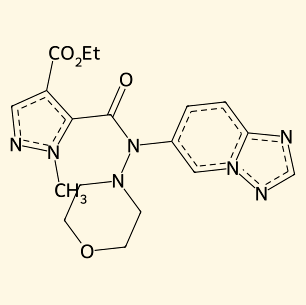 CCOC(=O)c1cnn(C)c1C(=O)N(c1ccc2ncnn2c1)N1CCOCC1